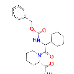 COC(=O)[C@@H]1CCCCN1C(=O)C(NC(=O)OCc1ccccc1)C1CCCCC1